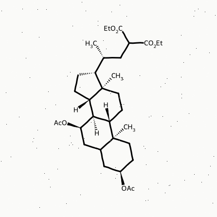 CCOC(=O)C(C[C@@H](C)[C@H]1CC[C@H]2[C@@H]3[C@H](OC(C)=O)CC4C[C@H](OC(C)=O)CC[C@]4(C)[C@H]3CC[C@]12C)C(=O)OCC